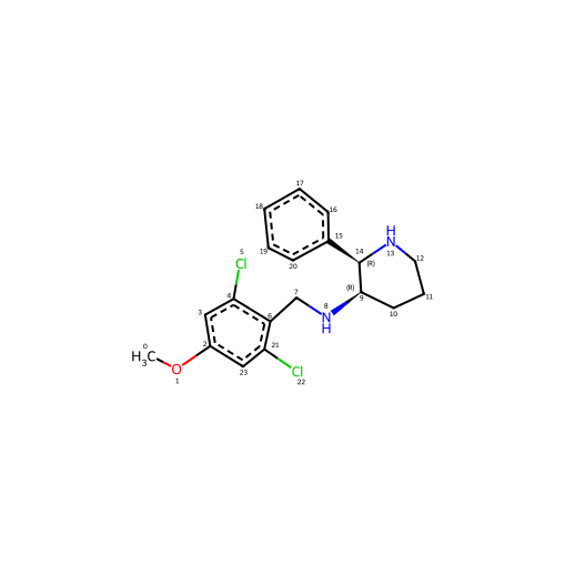 COc1cc(Cl)c(CN[C@@H]2CCCN[C@@H]2c2ccccc2)c(Cl)c1